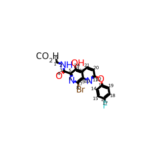 O=C(O)CNC(=O)c1nc(Br)c2nc(Oc3ccc(F)cc3)ccc2c1O